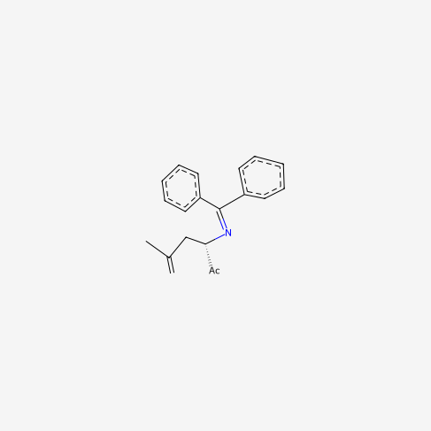 C=C(C)C[C@H](N=C(c1ccccc1)c1ccccc1)C(C)=O